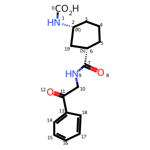 O=C(O)N[C@@H]1CCC[C@H](C(=O)NCC(=O)c2ccccc2)C1